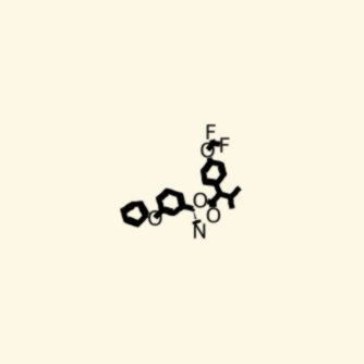 CC(C)C(C(=O)O[C@H](C#N)c1cccc(Oc2ccccc2)c1)c1ccc(OC(F)F)cc1